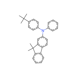 CC(C)(C)c1ccc(N(c2ccccc2)c2ccc3c(c2)C(C)(C)c2ccccc2-3)cc1